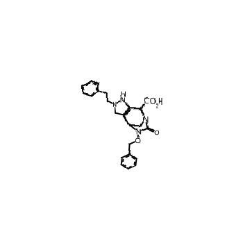 O=C(O)C1C2=C(CN(CCc3ccccc3)N2)C2CN1C(=O)N2OCc1ccccc1